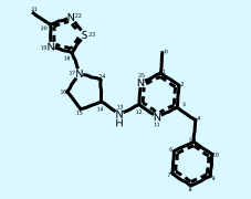 Cc1cc(Cc2ccccc2)nc(NC2CCN(c3nc(C)ns3)C2)n1